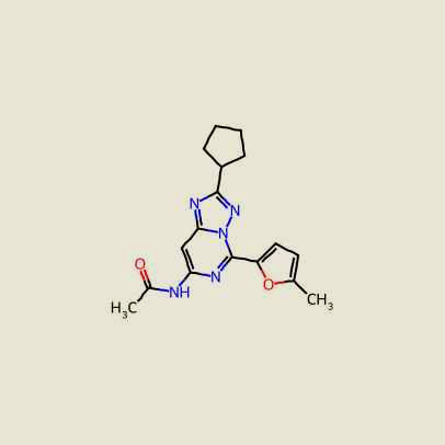 CC(=O)Nc1cc2nc(C3CCCC3)nn2c(-c2ccc(C)o2)n1